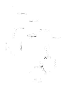 CCC(COS(=O)(=O)c1ccc(C)cc1)CC1C(C)C(C(=O)OCl)=C2Nc3ccccc3C23CCN(Cc2ccccc2)C13